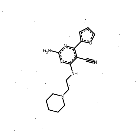 N#Cc1c(NCCN2CCCCC2)nc(N)nc1-c1ccco1